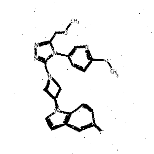 COCc1nnc(N2CC(n3ccc4cc(F)ccc43)C2)n1-c1ccc(OC)nc1